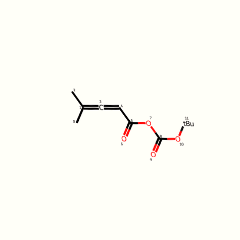 CC(C)=C=CC(=O)OC(=O)OC(C)(C)C